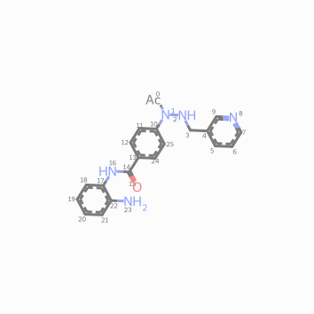 CC(=O)N(NCc1cccnc1)c1ccc(C(=O)Nc2ccccc2N)cc1